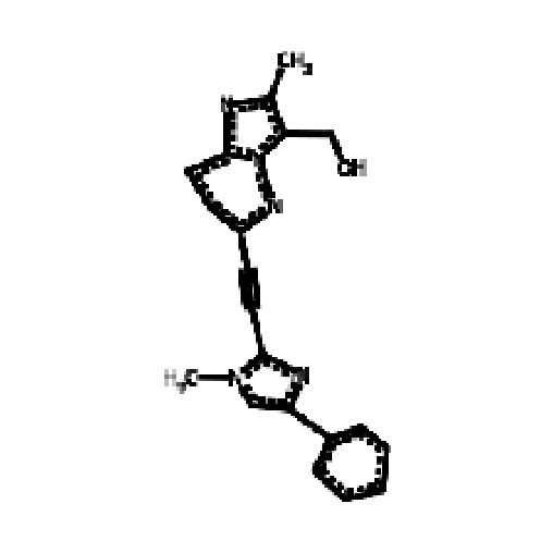 Cc1nc2ccc(C#Cc3nc(-c4ccccc4)cn3C)nn2c1CO